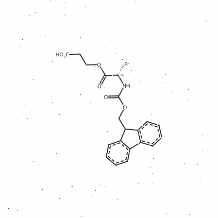 CC(C)[C@H](NC(=O)OCC1c2ccccc2-c2ccccc21)C(=O)OCCC(=O)O